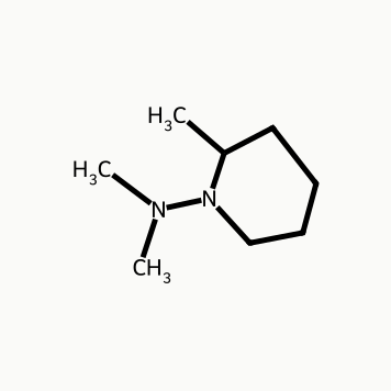 CC1CCCCN1N(C)C